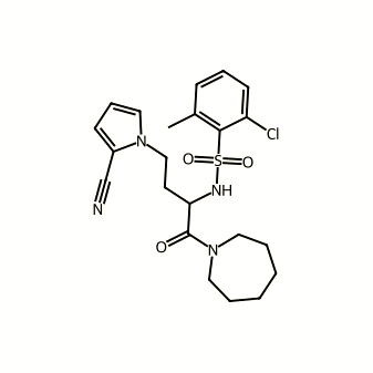 Cc1cccc(Cl)c1S(=O)(=O)NC(CCn1cccc1C#N)C(=O)N1CCCCCC1